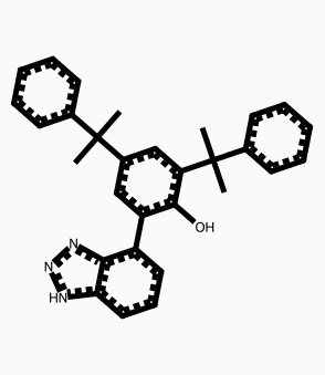 CC(C)(c1ccccc1)c1cc(-c2cccc3[nH]nnc23)c(O)c(C(C)(C)c2ccccc2)c1